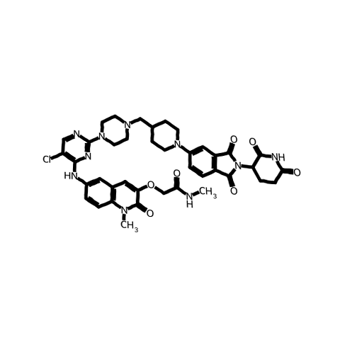 CNC(=O)COc1cc2cc(Nc3nc(N4CCN(CC5CCN(c6ccc7c(c6)C(=O)N(C6CCC(=O)NC6=O)C7=O)CC5)CC4)ncc3Cl)ccc2n(C)c1=O